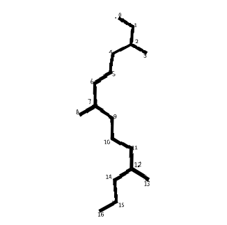 [CH2]CC(C)CCCC(C)CCCC(C)CCC